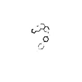 CN1CCN(c2ccc(NN3C=CC4=C(C3)C(Cc3cccs3)[NH+]([O-])CC4)cc2)CC1